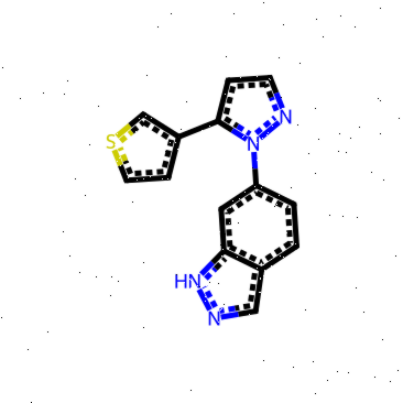 c1cc(-c2ccsc2)n(-c2ccc3cn[nH]c3c2)n1